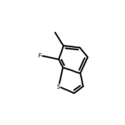 Cc1ccc2ccsc2c1F